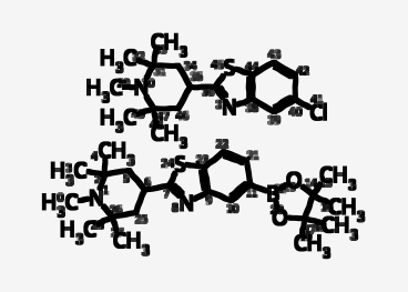 CN1C(C)(C)CC(c2nc3cc(B4OC(C)(C)C(C)(C)O4)ccc3s2)CC1(C)C.CN1C(C)(C)CC(c2nc3cc(Cl)ccc3s2)CC1(C)C